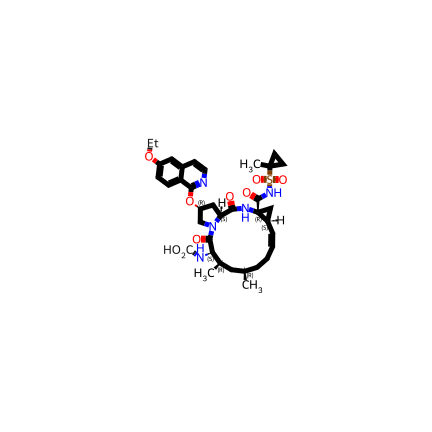 CCOc1ccc2c(O[C@@H]3C[C@H]4C(=O)N[C@]5(C(=O)NS(=O)(=O)C6(C)CC6)C[C@H]5C=CCC[C@@H](C)C[C@@H](C)[C@H](NC(=O)O)C(=O)N4C3)nccc2c1